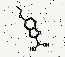 CCOc1ccc2oc(B(O)O)cc2c1